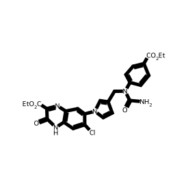 CCOC(=O)c1ccc(N(Cc2ccn(-c3cc4nc(C(=O)OCC)c(=O)[nH]c4cc3Cl)c2)C(N)=O)cc1